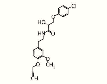 C#CCOc1ccc(CCNC(=O)[C@H](O)COc2ccc(Cl)cc2)cc1OC